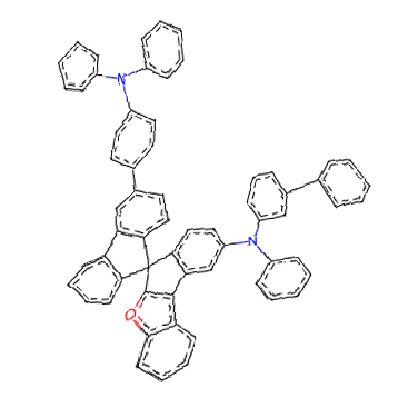 c1ccc(-c2cccc(N(c3ccccc3)c3ccc4c(c3)-c3c(oc5ccccc35)C43c4ccccc4-c4cc(-c5ccc(N(c6ccccc6)c6ccccc6)cc5)ccc43)c2)cc1